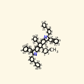 CC1C=CC=C(c2c3cc4c5c(c(-c6cccc(-c7ccccc7)c6)nc4cc3c(-c3ccccc3)c3cc4c6c(c(-c7cccc(-c8ccccc8)c7)nc4cc23)C2CC6c3ccccc32)C2CC5c3ccccc32)C1